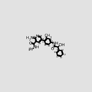 Cc1cc(NC(=O)C(O)c2ccccc2)ccc1-c1cnc(N)c(C(=O)NC(C)C)c1